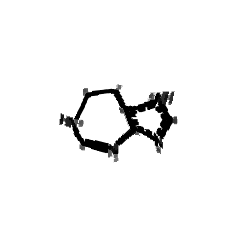 C1=Nc2nc[nH]c2CCN1